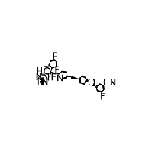 N#Cc1cc(F)cc(COc2ccc(C#Cc3ccc(C(F)(F)C(O)(Cn4cnnn4)c4ccc(F)cc4F)nc3)cc2)c1